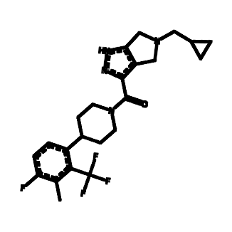 Cc1c(F)ccc(C2CCN(C(=O)c3n[nH]c4c3CN(CC3CC3)C4)CC2)c1C(F)(F)F